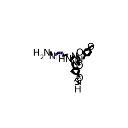 COc1ccc(Cn2c(=O)nc(NCC/C=C\C=N/CN)n(Cc3ccc(O[SiH](C)C)cc3)c2=O)cc1